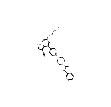 COCCOc1cc(-c2ccc(N3CCN(C(=O)C(O)c4ccccc4)CC3)nc2)c2c(C#N)cnn2c1